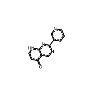 O=c1cc[nH]c2nc(-c3cccnc3)ncc12